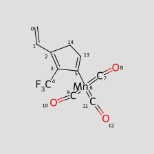 C=CC1=C(C(F)(F)F)[C]([Mn](=[C]=O)(=[C]=O)=[C]=O)=CC1